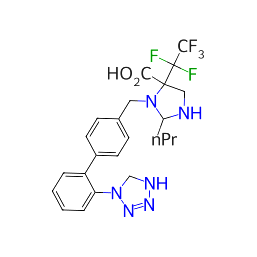 CCCC1NCC(C(=O)O)(C(F)(F)C(F)(F)F)N1Cc1ccc(-c2ccccc2N2CNN=N2)cc1